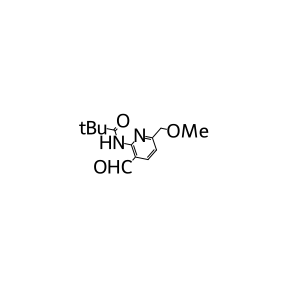 COCc1ccc(C=O)c(NC(=O)C(C)(C)C)n1